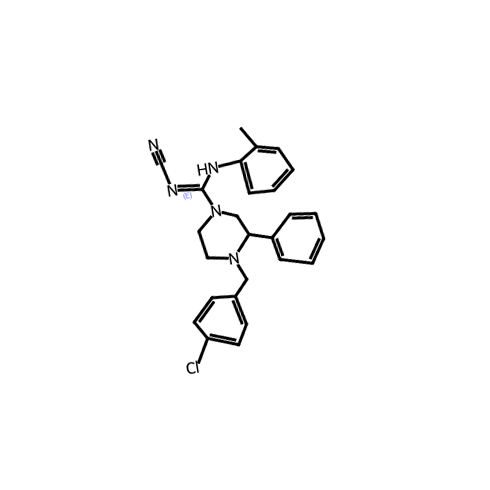 Cc1ccccc1N/C(=N\C#N)N1CCN(Cc2ccc(Cl)cc2)C(c2ccccc2)C1